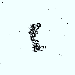 CCC(C(=O)[C@@H](C)[C@@H](O)C1(C)C[C@]12O[C@@H]([C@@H](CC)C(=O)O)CC[C@@H]2C)[C@H]1O[C@]2(C=C[C@@H](NC(=S)NCc3ccccc3)[C@]3(CC[C@@](C)([C@H]4CC[C@](O)(CC)[C@H](C)O4)O3)O2)[C@H](C)C[C@@H]1C